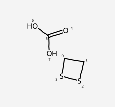 C1CSS1.O=C(O)O